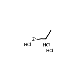 C[CH2][Zr].Cl.Cl.Cl